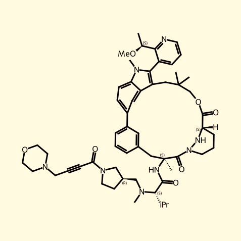 CO[C@@H](C)c1ncccc1-c1c2c3cc(ccc3n1C)-c1cccc(c1)C[C@](C)(NC(=O)[C@H](C(C)C)N(C)C[C@H]1CCN(C(=O)C#CCN3CCOCC3)C1)C(=O)N1CCC[C@H](N1)C(=O)OCC(C)(C)C2